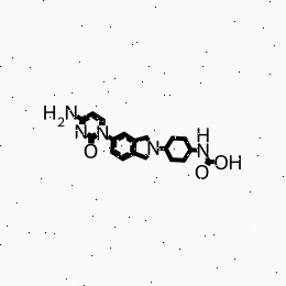 Nc1ccn(-c2ccc3c(c2)CN(C2CCC(NC(=O)O)CC2)C3)c(=O)n1